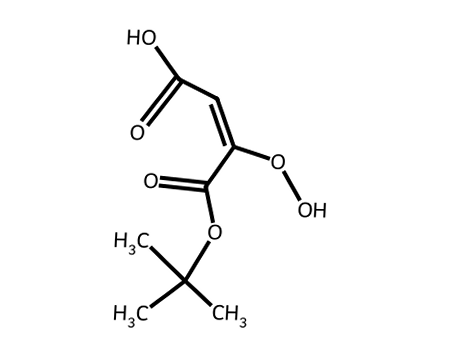 CC(C)(C)OC(=O)/C(=C\C(=O)O)OO